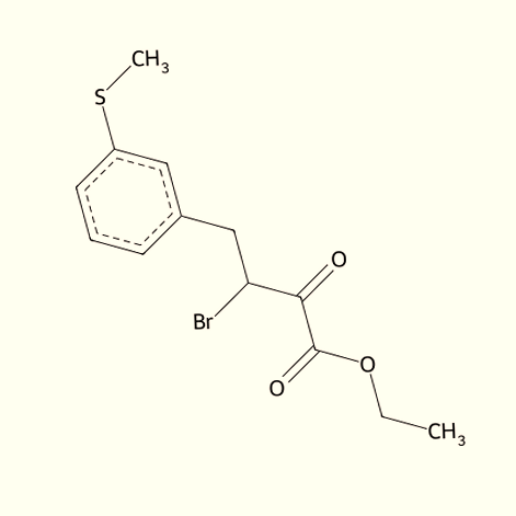 CCOC(=O)C(=O)C(Br)Cc1cccc(SC)c1